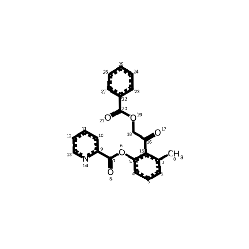 Cc1cccc(OC(=O)c2ccccn2)c1C(=O)COC(=O)c1ccccc1